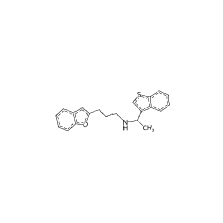 CC(NCCCc1cc2ccccc2o1)c1csc2ccccc12